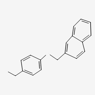 BrCc1ccc(OCc2ccc3ccccc3c2)cc1